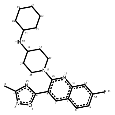 Cc1noc(-c2cc3ccc(F)cc3nc2N2CCC(NC3CCCCC3)CC2)n1